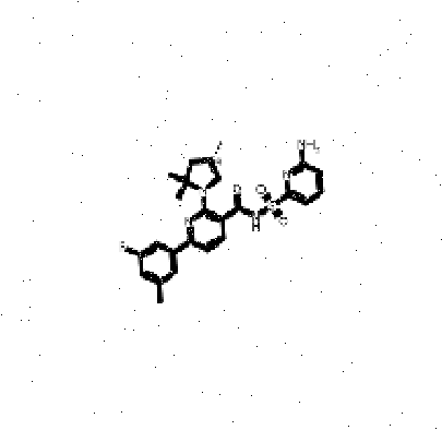 Cc1cc(F)cc(-c2ccc(C(=O)NS(=O)(=O)c3cccc(N)n3)c(N3C[C@@H](C)CC3(C)C)n2)c1